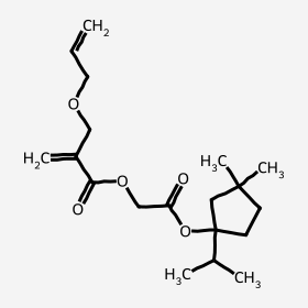 C=CCOCC(=C)C(=O)OCC(=O)OC1(C(C)C)CCC(C)(C)C1